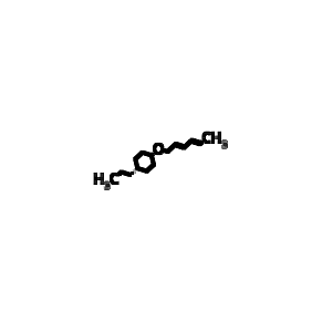 C/C=C/C=C/CO[C@H]1CC[C@H](CCC)CC1